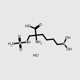 Cl.NC(CCCCB(O)O)(CNS(N)(=O)=O)C(=O)O